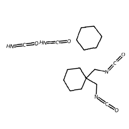 C1CCCCC1.N=C=O.N=C=O.O=C=NCC1(CN=C=O)CCCCC1